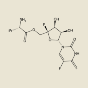 CC(C)[C@H](N)C(=O)OC[C@@]1(F)O[C@@H](n2cc(F)c(=S)[nH]c2=O)[C@H](O)[C@@H]1O